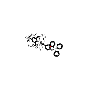 CC(C)(C)c1cc(S(=O)(=O)[O-])cc(C(C)(C)C)c1O.N#Cc1ccc(C[P+](c2ccccc2)(c2ccccc2)c2ccccc2)cc1